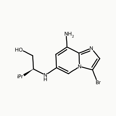 CC(C)[C@@H](CO)Nc1cc(N)c2ncc(Br)n2c1